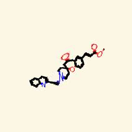 COC(=O)C=Cc1ccc2c(c1)C(=O)CC1(CCN(Cc3ccc4ccccc4n3)CC1)O2